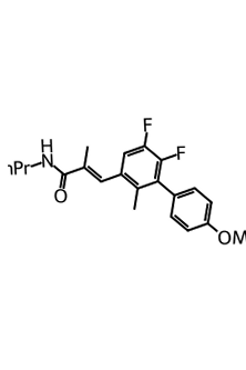 CCCNC(=O)/C(C)=C/c1cc(F)c(F)c(-c2ccc(OC)cc2)c1C